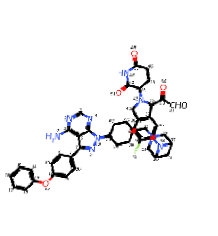 Nc1ncnc2c1c(-c1ccc(Oc3ccccc3)cc1)nn2C1CCC(CN2CC3CC(C2)N3c2cc3c(cc2F)CN(C2CCC(=O)NC2=O)C3C(=O)C=O)CC1